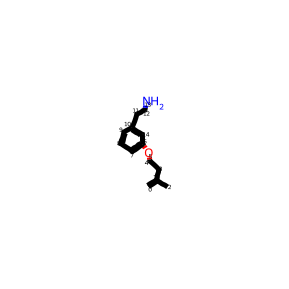 C=C(C)CCOc1cccc(CCN)c1